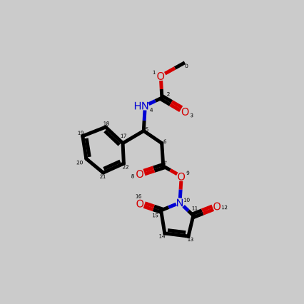 COC(=O)NC(CC(=O)ON1C(=O)C=CC1=O)c1ccccc1